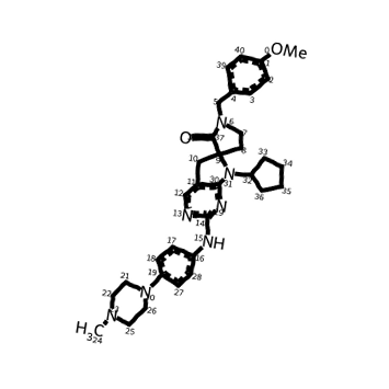 COc1ccc(CN2CCC3(Cc4cnc(Nc5ccc(N6CCN(C)CC6)cc5)nc4N3C3CCCC3)C2=O)cc1